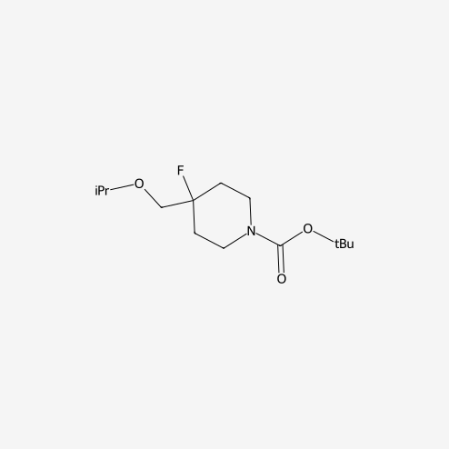 CC(C)OCC1(F)CCN(C(=O)OC(C)(C)C)CC1